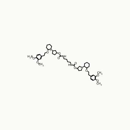 COc1ccc(CCO[C@@H]2CCCCC2N2CC[C@@H](OC(=O)NCCCCNC(=O)OC3CCC([C@@H]4CCCC[C@H]4OCCc4ccc(OC)c(OC)c4)C3)C2)cc1OC